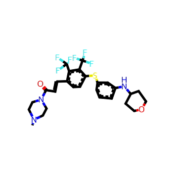 CN1CCN(C(=O)C=Cc2ccc(Sc3cccc(NC4CCOCC4)c3)c(C(F)(F)F)c2C(F)(F)F)CC1